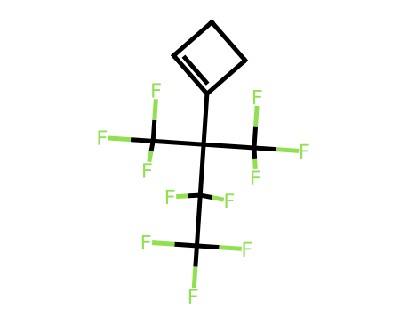 FC(F)(F)C(F)(F)C(C1=CCC1)(C(F)(F)F)C(F)(F)F